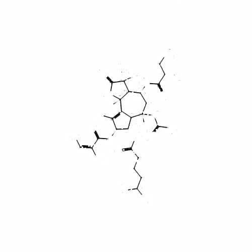 C/C=C(/C)C(=O)O[C@H]1C(C)=C2[C@H]([C@@H]1OC(=O)CCCC(C)C)[C@@](C)(OC(C)=O)C[C@H](OC(=O)[C@@H](C)CC)[C@@]1(O)[C@H]2OC(=O)[C@@]1(C)O